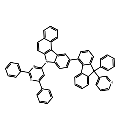 c1ccc(-c2cc(-n3c4ccc(-c5cccc6c5-c5ccccc5C6(c5ccccc5)c5cccnc5)cc4c4c5ccccc5ccc43)nc(-c3ccccc3)n2)cc1